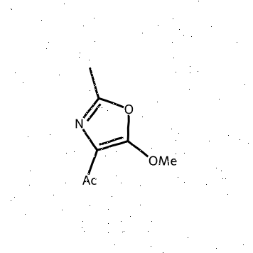 COc1oc(C)nc1C(C)=O